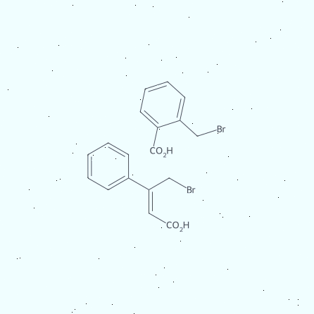 O=C(O)C=C(CBr)c1ccccc1.O=C(O)c1ccccc1CBr